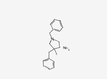 CC1(Cc2ccccc2)CCN(Cc2ccccc2)C1.N